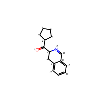 O=C(C1CCCC1)C1Cc2ccccc2C=N1